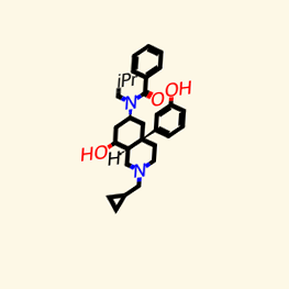 CC(C)CN(C(=O)c1ccccc1)[C@@H]1CC(O)[C@@H]2CN(CC3CC3)CC[C@@]2(c2cccc(O)c2)C1